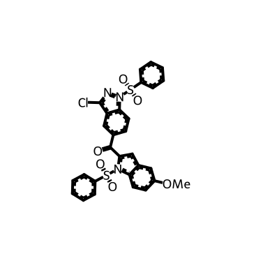 COc1ccc2c(c1)cc(C(=O)c1ccc3c(c1)c(Cl)nn3S(=O)(=O)c1ccccc1)n2S(=O)(=O)c1ccccc1